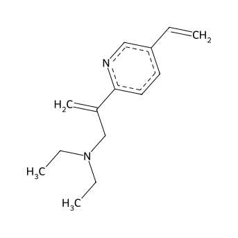 C=Cc1ccc(C(=C)CN(CC)CC)nc1